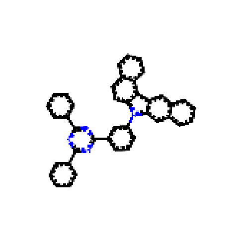 c1ccc(-c2nc(-c3ccccc3)nc(-c3cccc(-n4c5cc6ccccc6cc5c5c6ccccc6ccc54)c3)n2)cc1